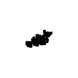 CS(=O)(=O)NCC1CSC2=C1S(=O)(=O)N=C(C1=C(O)C3CCCCC3N(Cc3ccc(F)cc3F)C1=O)N2